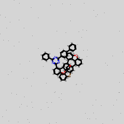 c1ccc(-c2ccc(-c3nc(-c4ccccc4)nc(-c4cccc5oc6ccc(-c7cccc8oc9cccc(-c%10ccc%11c(c%10)sc%10ccccc%10%11)c9c78)cc6c45)n3)cc2)cc1